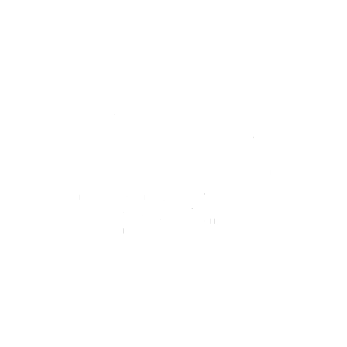 C=CC(=C)CCC(F)(F)CC(C)(C)C(F)(F)C(F)(F)CC(C)(C)C(F)(F)CCC(=C)C=C